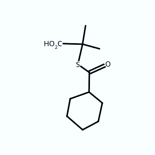 CC(C)(SC(=O)C1CCCCC1)C(=O)O